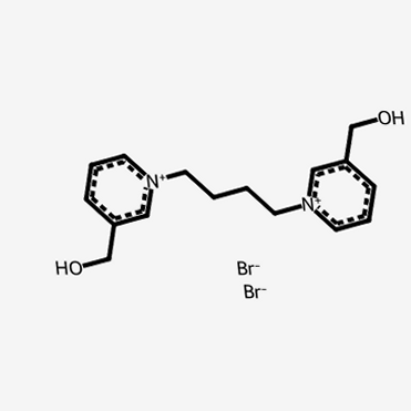 OCc1ccc[n+](CCCC[n+]2cccc(CO)c2)c1.[Br-].[Br-]